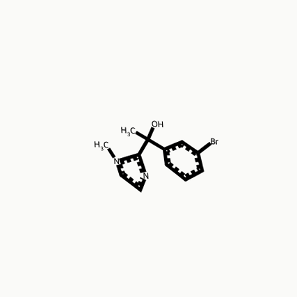 Cn1ccnc1C(C)(O)c1cccc(Br)c1